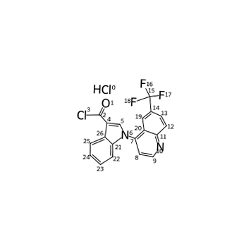 Cl.O=C(Cl)c1cn(-c2ccnc3ccc(C(F)(F)F)cc23)c2ccccc12